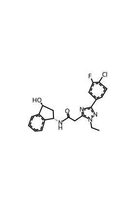 CCn1nc(-c2ccc(Cl)c(F)c2)nc1CC(=O)N[C@H]1C[C@H](O)c2ccccc21